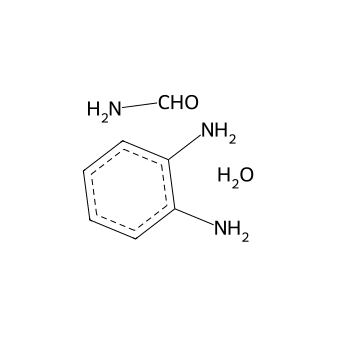 NC=O.Nc1ccccc1N.O